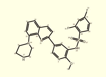 COc1ncc(-c2ccc3cccc(N4CCNCC4)c3n2)cc1NS(=O)(=O)c1ccc(F)cc1F